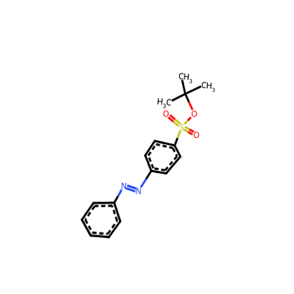 CC(C)(C)OS(=O)(=O)c1ccc(N=Nc2ccccc2)cc1